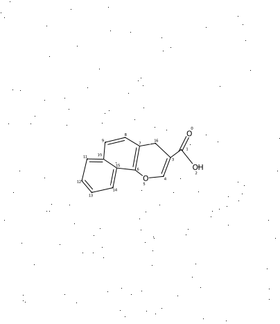 O=C(O)C1=COc2c(ccc3ccccc23)C1